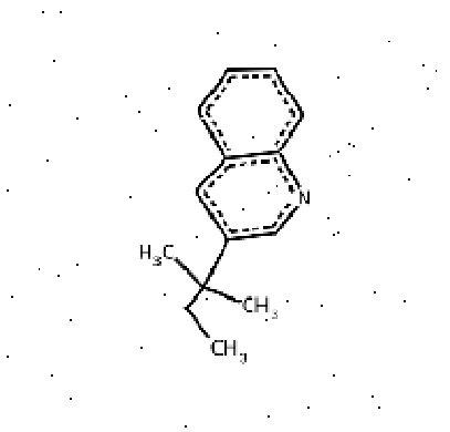 CCC(C)(C)c1cnc2ccccc2c1